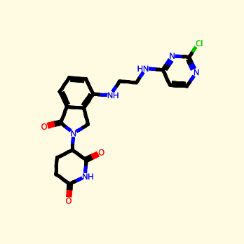 O=C1CCC(N2Cc3c(NCCNc4ccnc(Cl)n4)cccc3C2=O)C(=O)N1